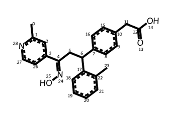 Cc1cc(/C(CC(c2ccc(CC(=O)O)cc2)c2ccccc2C)=N\O)ccn1